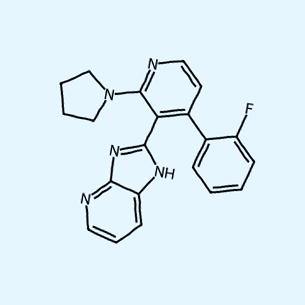 Fc1ccccc1-c1ccnc(N2CCCC2)c1-c1nc2ncccc2[nH]1